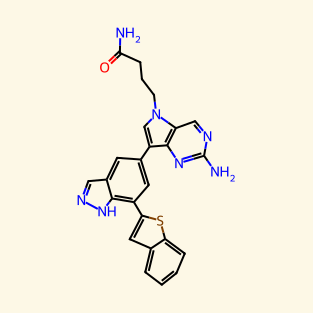 NC(=O)CCCn1cc(-c2cc(-c3cc4ccccc4s3)c3[nH]ncc3c2)c2nc(N)ncc21